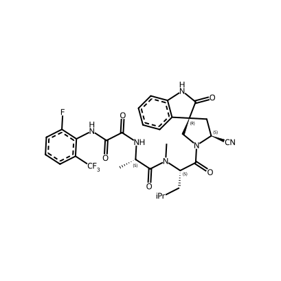 CC(C)C[C@@H](C(=O)N1C[C@]2(C[C@H]1C#N)C(=O)Nc1ccccc12)N(C)C(=O)[C@H](C)NC(=O)C(=O)Nc1c(F)cccc1C(F)(F)F